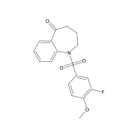 COc1ccc(S(=O)(=O)N2CCCC(=O)c3ccccc32)cc1F